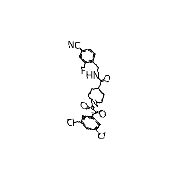 N#Cc1ccc(CNC(=O)C2CCN(S(=O)(=O)c3cc(Cl)cc(Cl)c3)CC2)c(F)c1